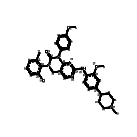 COc1ccc(N2C(=O)N(c3c(C)cccc3Cl)Cc3cnc(Nc4ccc(C5CCN(C)CC5)cc4OC)nc32)cc1